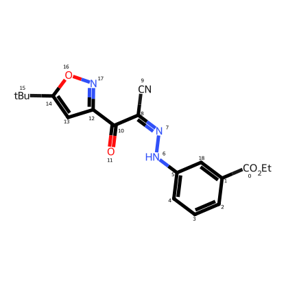 CCOC(=O)c1cccc(NN=C(C#N)C(=O)c2cc(C(C)(C)C)on2)c1